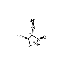 [N-]=[N+]=C1C(=O)CNC1=O